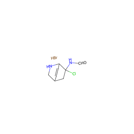 Br.O=CNC1(Cl)CC2C=CC1NC2